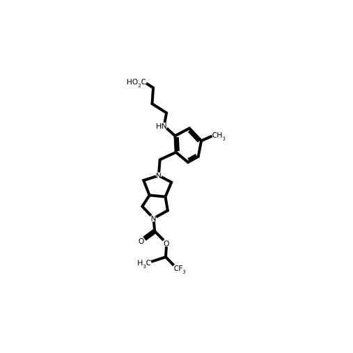 Cc1ccc(CN2CC3CN(C(=O)OC(C)C(F)(F)F)CC3C2)c(NCCCC(=O)O)c1